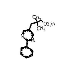 CC(C)(CC(=O)O)Cc1cnc(-c2ccccc2)nc1